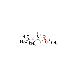 CCOC(=O)/C=C(\C)COC(C)(C)C